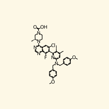 COc1ccc(CN(Cc2ccc(OC)cc2)c2cc(C)c(I)c(-c3c(Cl)cc4c(N5CCN(C(=O)O)C[C@@H]5C)ncnc4c3F)n2)cc1